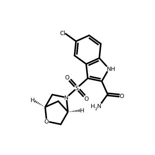 NC(=O)c1[nH]c2ccc(Cl)cc2c1S(=O)(=O)N1C[C@H]2C[C@@H]1CO2